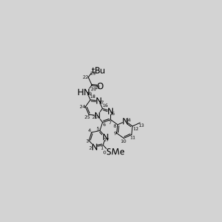 CSc1nccc(-c2c(-c3cccc(C)n3)nc3nc(NC(=O)CC(C)(C)C)ccn23)n1